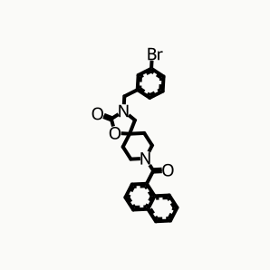 O=C1OC2(CCN(C(=O)c3cccc4ccccc34)CC2)CN1Cc1cccc(Br)c1